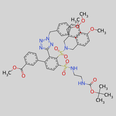 COC(=O)c1cccc(-c2ccc(S(=O)(=O)NCCNC(=O)OC(C)(C)C)c(S(=O)(=O)N(Cc3ccc(OC)cc3)Cc3ccc(OC)cc3)c2-c2nnn(Cc3ccc(OC)cc3)n2)c1